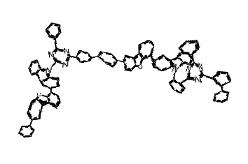 c1ccc(-c2cccc(-c3nc(-c4ccccc4)nc(-c4ccccc4-n4c5ccccc5c5cc(-c6cccc7c6oc6ccc(-c8ccc(-c9ccc(-c%10nc(-c%11ccccc%11)nc(-n%11c%12ccccc%12c%12cc(-c%13cccc%14c%13oc%13ccc(-c%15ccccc%15)cc%13%14)ccc%12%11)n%10)cc9)cc8)cc67)ccc54)n3)c2)cc1